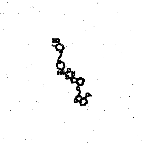 COc1cccc2occ(COc3cccc4[nH]c(OC(=O)NC5CCN(CCN6CC[C@H](O)[C@@H](C)C6)CC5)cc34)c12